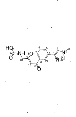 Cn1cc(-c2ccc3oc(CNC(=O)O)cc(=O)c3c2)nn1